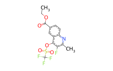 CCOC(=O)c1ccc2nc(C)c(F)c(OS(=O)(=O)C(F)(F)F)c2c1